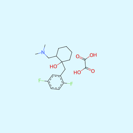 CN(C)CC1CCCCC1(O)Cc1cc(F)ccc1F.O=C(O)C(=O)O